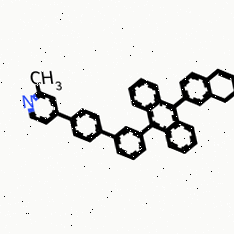 Cc1cc(-c2ccc(-c3cccc(-c4c5ccccc5c(-c5ccc6c(c5)CCC=C6)c5ccccc45)c3)cc2)ccn1